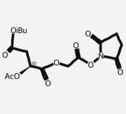 CC(=O)O[C@@H](CC(=O)OCC(C)C)C(=O)OCC(=O)ON1C(=O)CCC1=O